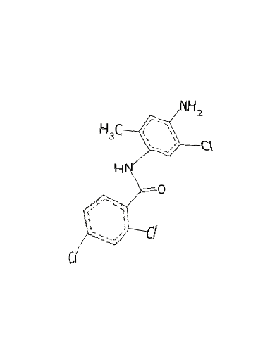 Cc1cc(N)c(Cl)cc1NC(=O)c1ccc(Cl)cc1Cl